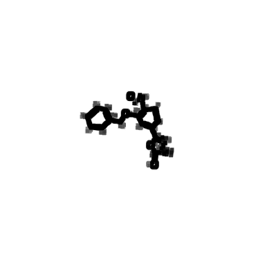 O=c1[nH]nc(-c2ccc([N+](=O)[O-])c(OCc3ccccc3)c2)o1